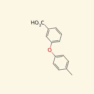 Cc1ccc(Oc2cccc(C(=O)O)c2)cc1